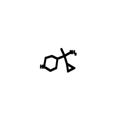 CC(N)(C1CCNCC1)C1CC1